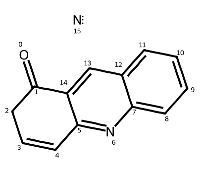 O=C1CC=Cc2nc3ccccc3cc21.[N]